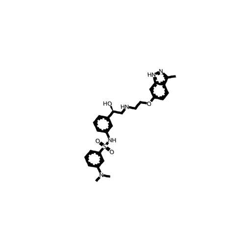 Cc1n[nH]c2cc(OCCNC[C@H](O)c3cccc(NS(=O)(=O)c4cccc(N(C)C)c4)c3)ccc12